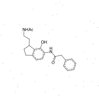 CC(=O)NCCC1CCc2ccc(NC(=O)Cc3ccccc3)c(O)c21